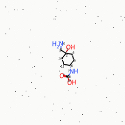 NC[C@]1(O)CC[C@H](NC(=O)O)CC1